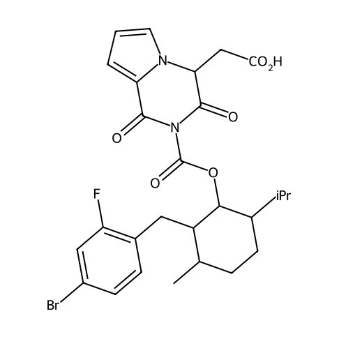 CC(C)C1CCC(C)C(Cc2ccc(Br)cc2F)C1OC(=O)N1C(=O)c2cccn2C(CC(=O)O)C1=O